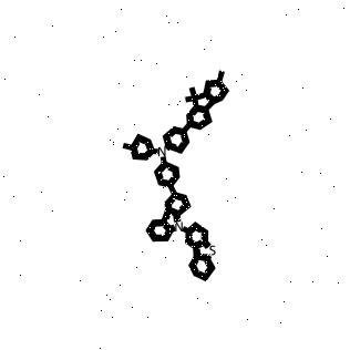 Cc1ccc(N(c2ccc(-c3ccc4c(c3)C(C)(C)c3cc(C)ccc3-4)cc2)c2ccc(-c3ccc4c(c3)c3ccccc3n4-c3ccc4sc5ccccc5c4c3)cc2)cc1